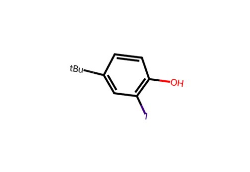 CC(C)(C)c1ccc(O)c(I)c1